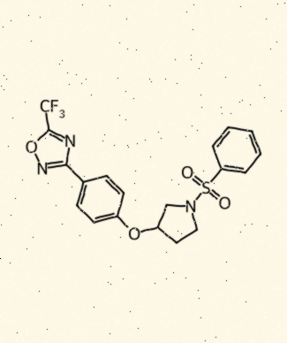 O=S(=O)(c1ccccc1)N1CCC(Oc2ccc(-c3noc(C(F)(F)F)n3)cc2)C1